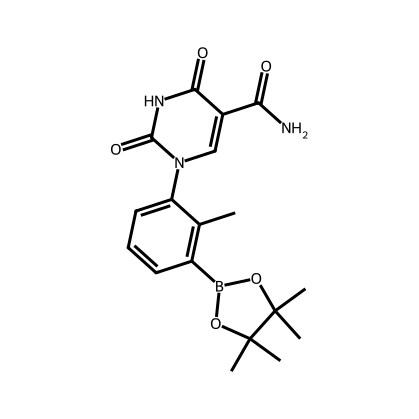 Cc1c(B2OC(C)(C)C(C)(C)O2)cccc1-n1cc(C(N)=O)c(=O)[nH]c1=O